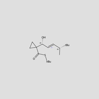 CCCCSC(=O)C1([C@H](O)/C=C/[C@@H](C)C(C)(C)C)CC1